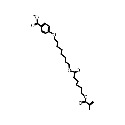 C=C(C)C(=O)OCCCCCC(=O)OCCCCCCCCOc1ccc(C(=O)OC)cc1